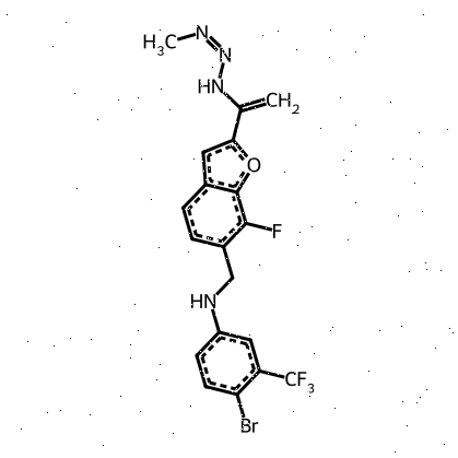 C=C(N/N=N\C)c1cc2ccc(CNc3ccc(Br)c(C(F)(F)F)c3)c(F)c2o1